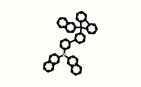 c1cc(-c2cccc(C3(c4ccc5ccccc5c4)c4ccccc4-c4ccccc43)c2)cc(N(c2ccc3ccccc3c2)c2ccc3ccccc3c2)c1